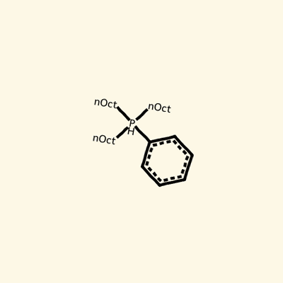 CCCCCCCC[PH](CCCCCCCC)(CCCCCCCC)c1ccccc1